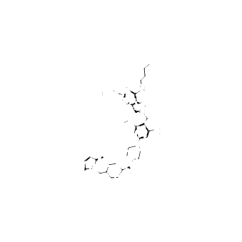 C=C1C=CC(=O)N1CC1CCC(C(=O)N2CCN(c3cc(OC)c(Cn4cc5nc(N)nc(NCCCC)c5n4)c(OC)c3)CC2)CC1